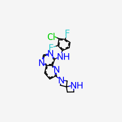 Fc1ccc(Nc2ncnc3ccc(N4CC5(CCN5)C4)nc23)c(F)c1Cl